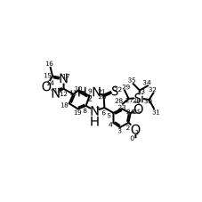 COc1ccc(C(Nc2ccc(-c3noc(C)n3)cc2)C(N)=S)cc1O[Si](C(C)C)(C(C)C)C(C)C